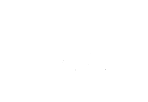 CC(=O)CC(NC(=O)[C@H](C)n1cnc2ccccc2c1=O)C(=O)CF